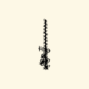 CCCCCCCCCCCCCCCCCCNC(=O)OCC(COC(=O)N(CC[N+](C)(C)C)C(=O)OC)OC.[I-]